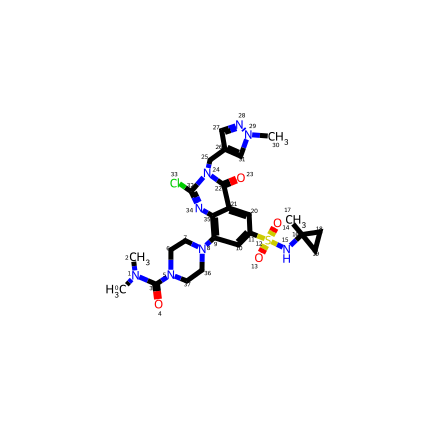 CN(C)C(=O)N1CCN(c2cc(S(=O)(=O)NC3(C)CC3)cc3c(=O)n(Cc4cnn(C)c4)c(Cl)nc23)CC1